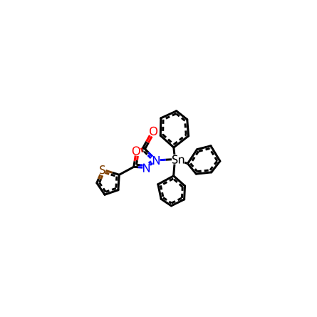 O=c1oc(-c2cccs2)n[n]1[Sn]([c]1ccccc1)([c]1ccccc1)[c]1ccccc1